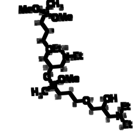 CCN(CC)CC(O)COCCC[Si](C)(OC)OC(COCCC[Si](C)(OC)OC)CN(CC)CC